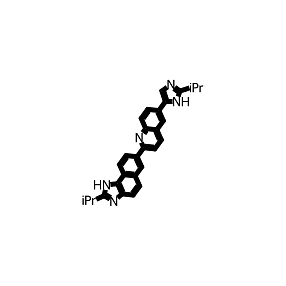 CC(C)c1ncc(-c2ccc3nc(-c4ccc5c(ccc6nc(C(C)C)[nH]c65)c4)ccc3c2)[nH]1